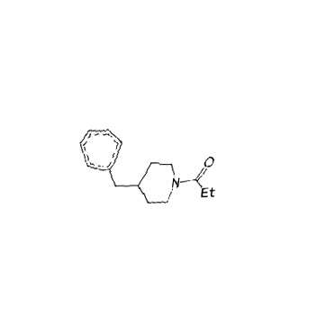 CCC(=O)N1CCC(Cc2ccccc2)CC1